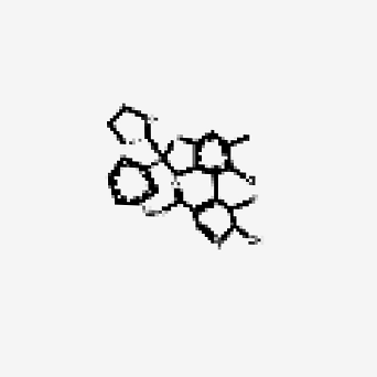 CNC(=O)C1=C(c2c(Cl)c(F)cc3c2C[C@](c2ccccc2)([C@@H]2CCCN2)O3)C(F)C(O)N=C1